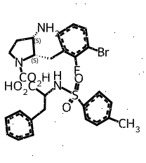 Cc1ccc(S(=O)(=O)NC(Cc2ccccc2)C(=O)O)cc1.N[C@H]1CCN(C(=O)O)[C@H]1Cc1cccc(Br)c1F